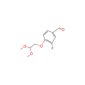 COC(COc1ccc(C=O)cc1F)OC